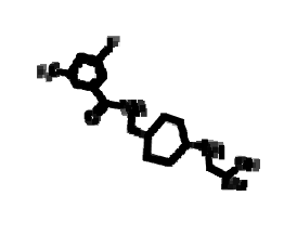 CC(C)(C)C(O)CN[C@H]1CC[C@@H](CNC(=O)c2cc(F)cc(C(F)(F)F)c2)CC1